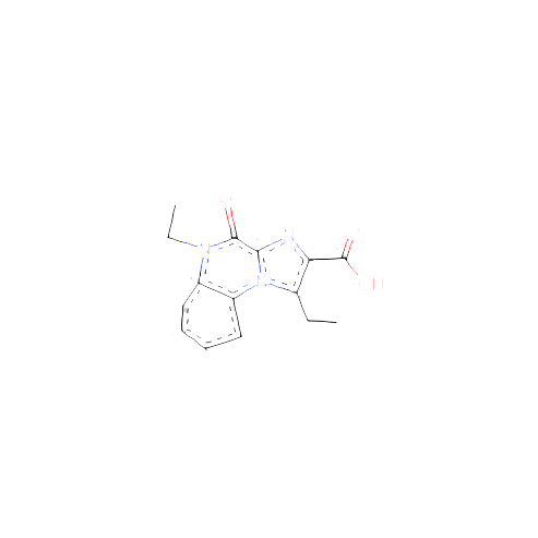 CCc1c(C(=O)O)nc2c(=O)n(CC)c3ccccc3n12